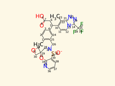 Cc1ccc(C(CC(=O)O)c2ccn3c(C(F)(F)F)nnc3c2C)cc1CN1CC2(COC2)Oc2ncccc2[S+]1[O-]